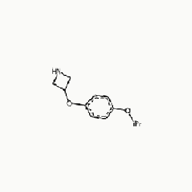 CC(C)Oc1ccc(OC2CNC2)cc1